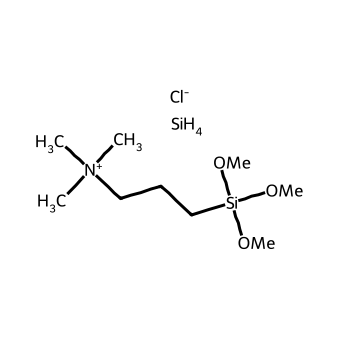 CO[Si](CCC[N+](C)(C)C)(OC)OC.[Cl-].[SiH4]